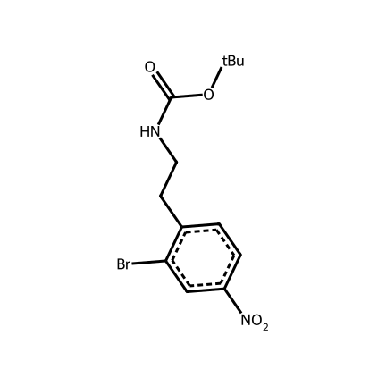 CC(C)(C)OC(=O)NCCc1ccc([N+](=O)[O-])cc1Br